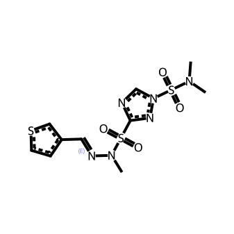 CN(/N=C/c1ccsc1)S(=O)(=O)c1ncn(S(=O)(=O)N(C)C)n1